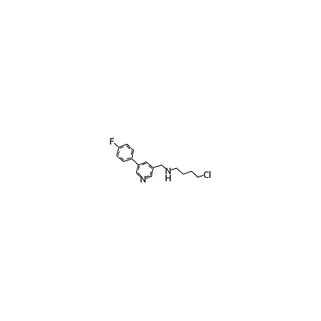 Fc1ccc(-c2cncc(CNCCCCCl)c2)cc1